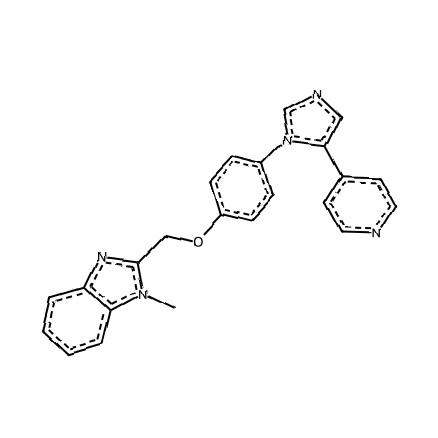 Cn1c(COc2ccc(-n3cncc3-c3ccncc3)cc2)nc2ccccc21